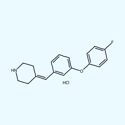 Cl.Fc1ccc(Oc2cccc(C=C3CCNCC3)c2)cc1